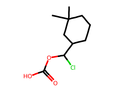 CC1(C)CCCC(C(Cl)OC(=O)O)C1